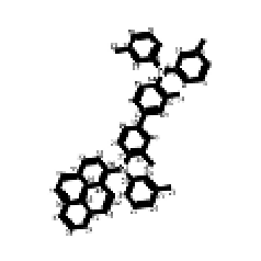 Cc1cccc(N(c2cccc(C)c2)c2ccc(-c3ccc(N(c4cccc(C)c4)c4ccc5ccc6cccc7ccc4c5c67)c(C)c3)cc2C)c1